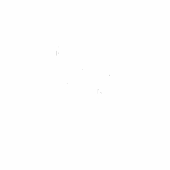 [CH2]CN1CCC(O)CC1